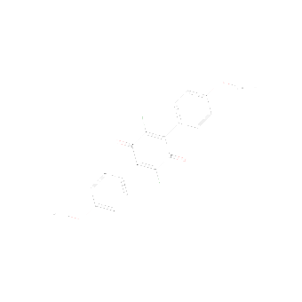 CCCCCCCOc1ccc(C2=C(Cl)C(=O)C(c3ccc(OCCCCCCC)cc3)=C(Cl)C2=O)cc1